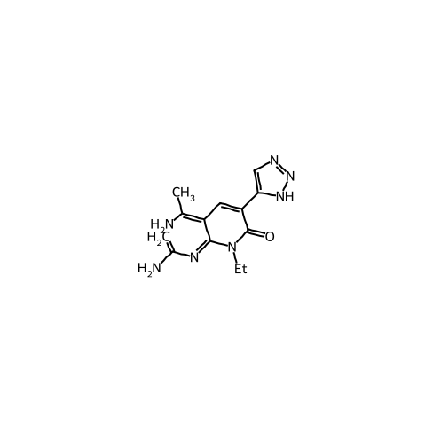 C=C(N)/N=C1\C(=C(\C)N)C=C(c2cnn[nH]2)C(=O)N1CC